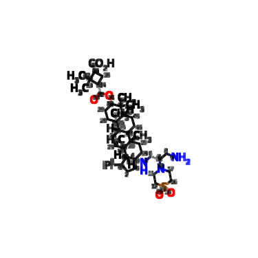 CC(C)[C@@H]1CC[C@]2(NC[C@H](CN)N3CCS(=O)(=O)CC3)CC[C@]3(C)[C@H](CC[C@@H]4[C@@]5(C)CC[C@H](OC(=O)[C@H]6C[C@@H](C(=O)O)C6(C)C)C(C)(C)[C@@H]5CC[C@]43C)[C@@H]12